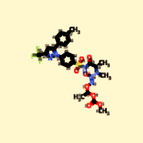 COC(=O)OC(C)ON=[N+]([O-])N(C)[C@@H](C)C(=O)NS(=O)(=O)c1ccc(-n2nc(C(F)(F)F)cc2-c2ccc(C)cc2)cc1